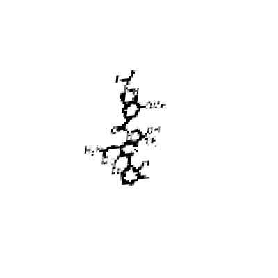 CCOc1c(CC(N)=O)cc([C@@](O)(CNC(=O)c2cc(OC)c3nn(C(F)F)cc3c2)C(F)(F)F)nc1-c1cccc(F)c1Cl